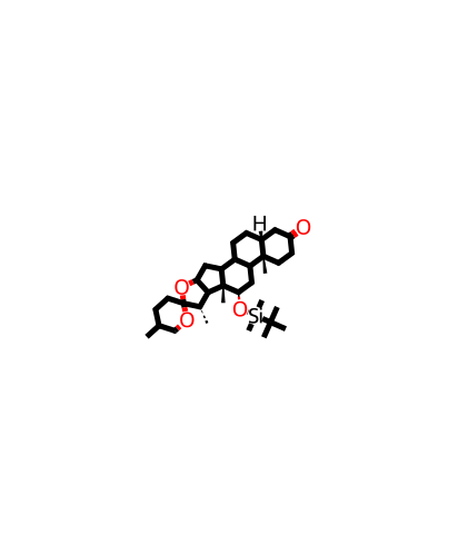 CC1CCC2(OC1)OC1CC3C4CC[C@@H]5CC(=O)CC[C@]5(C)C4C[C@H](O[Si](C)(C)C(C)(C)C)[C@]3(C)C1[C@@H]2C